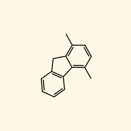 Cc1ccc(C)c2c1Cc1[c]cccc1-2